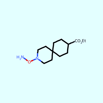 CCOC(=O)C1CCC2(CC1)CCN(ON)CC2